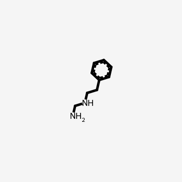 NCNCCc1ccccc1